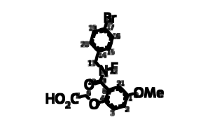 COc1ccc(OCC(=O)O)c(C(=O)N(F)Cc2ccc(Br)cc2)c1